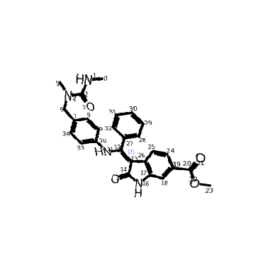 CNC(=O)N(C)Cc1ccc(N/C(=C2\C(=O)Nc3cc(C(=O)OC)ccc32)c2ccccc2)cc1